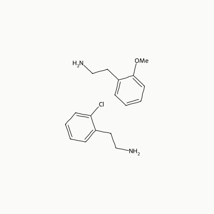 COc1ccccc1CCN.NCCc1ccccc1Cl